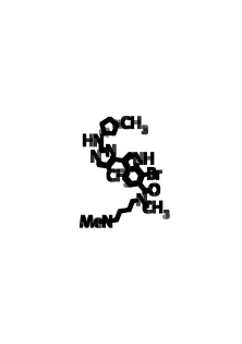 CNCCCCN(C)C(=O)c1ccc2c(-c3nc(N[C@H]4CC[C@H](C)C4)ncc3C(F)(F)F)c[nH]c2c1Br